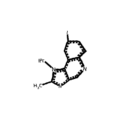 Cc1nc2cnc3ccc(I)cc3c2n1C(C)C